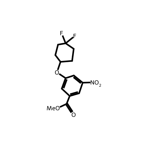 COC(=O)c1cc(OC2CCC(F)(F)CC2)cc([N+](=O)[O-])c1